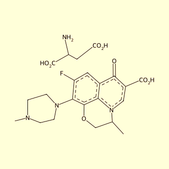 CC1COc2c(N3CCN(C)CC3)c(F)cc3c(=O)c(C(=O)O)cn1c23.NC(CC(=O)O)C(=O)O